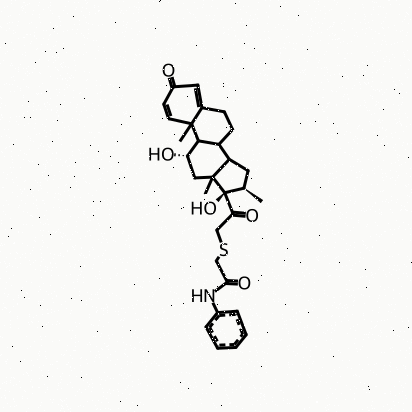 C[C@@H]1CC2C3CCC4=CC(=O)C=CC4(C)C3[C@@H](O)CC2(C)[C@@]1(O)C(=O)CSCC(=O)Nc1ccccc1